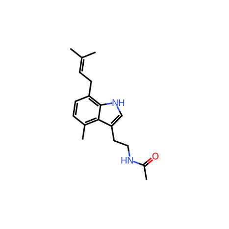 CC(=O)NCCc1c[nH]c2c(CC=C(C)C)ccc(C)c12